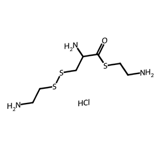 Cl.NCCSSCC(N)C(=O)SCCN